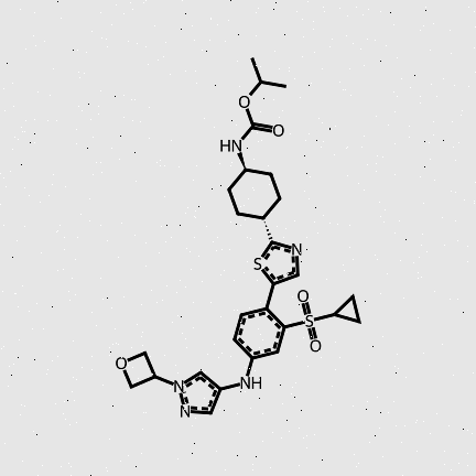 CC(C)OC(=O)N[C@H]1CC[C@H](c2ncc(-c3ccc(Nc4cnn(C5COC5)c4)cc3S(=O)(=O)C3CC3)s2)CC1